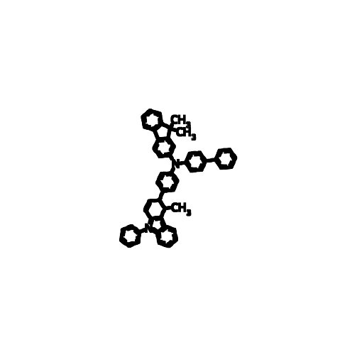 CC1c2c(n(-c3ccccc3)c3ccccc23)C=CC1c1ccc(N(c2ccc(-c3ccccc3)cc2)c2ccc3c(c2)C(C)(C)c2ccccc2-3)cc1